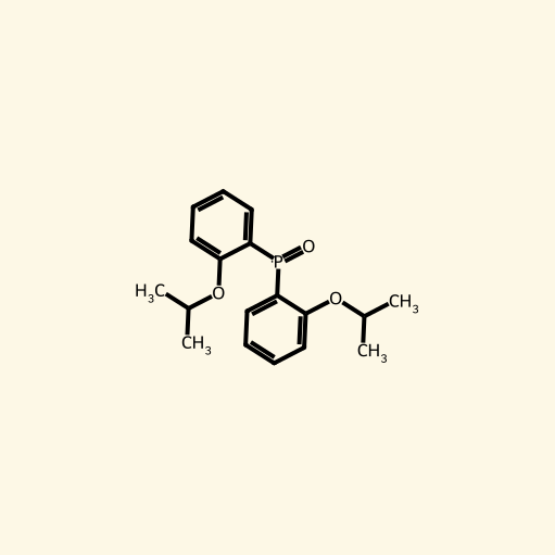 CC(C)Oc1ccccc1[P](=O)c1ccccc1OC(C)C